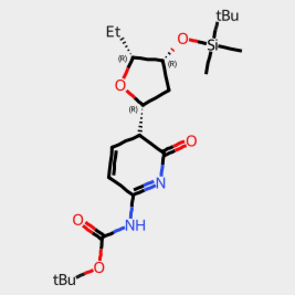 CC[C@H]1O[C@@H](C2C=CC(NC(=O)OC(C)(C)C)=NC2=O)C[C@H]1O[Si](C)(C)C(C)(C)C